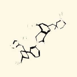 Cn1cnnc1CC1(c2cccc(N3Cc4c(cc(CC5(C)CNCCO5)cc4C(F)(F)F)C3=O)c2)CC(C#N)C1